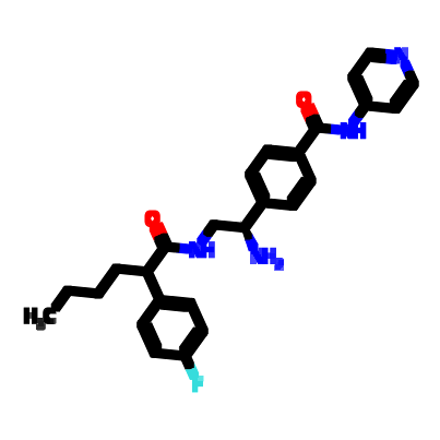 CCCCC(C(=O)NC[C@H](N)c1ccc(C(=O)Nc2ccncc2)cc1)c1ccc(F)cc1